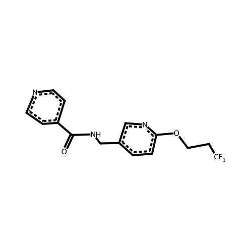 O=C(NCc1ccc(OCCC(F)(F)F)nc1)c1ccncc1